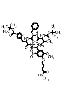 CNC(=O)CCCOc1cc([N+](=O)[O-])c(C(C)NNC(=O)[C@@H](Cc2cn(C(=O)OC(C)(C)C)cn2)NC(=O)[C@@H](Cc2ccccc2)NC(=O)[C@H](NC(=O)OC(C)(C)C)C(C)C)cc1OC